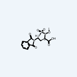 O=C(O)[C@@H](CCN1C(=O)c2ccccc2C1=O)N(OI)S(=O)(=O)P